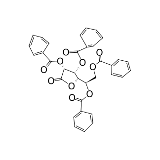 O=C(OC[C@@H](OC(=O)c1ccccc1)[C@@H]1OC(=O)[C@H](OC(=O)c2ccccc2)[C@@H]1OC(=O)c1ccccc1)c1ccccc1